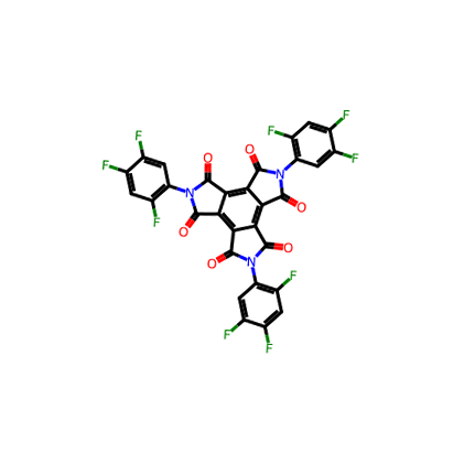 O=c1c2c3c(=O)n(-c4cc(F)c(F)cc4F)c(=O)c3c3c(=O)n(-c4cc(F)c(F)cc4F)c(=O)c3c2c(=O)n1-c1cc(F)c(F)cc1F